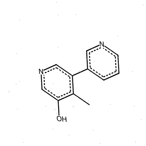 Cc1c(O)cncc1-c1cccnc1